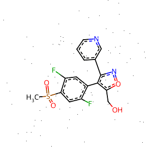 CS(=O)(=O)c1cc(F)c(-c2c(-c3cccnc3)noc2CO)cc1F